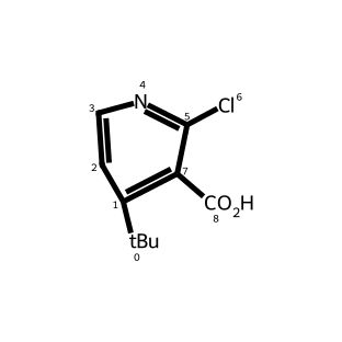 CC(C)(C)c1ccnc(Cl)c1C(=O)O